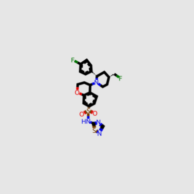 O=S(=O)(Nc1ncns1)c1ccc2c(c1)OCCC2N1CC[C@@H](CF)C[C@H]1c1ccc(F)cc1